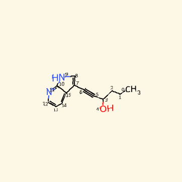 CCCC(O)C#Cc1c[nH]c2ncccc12